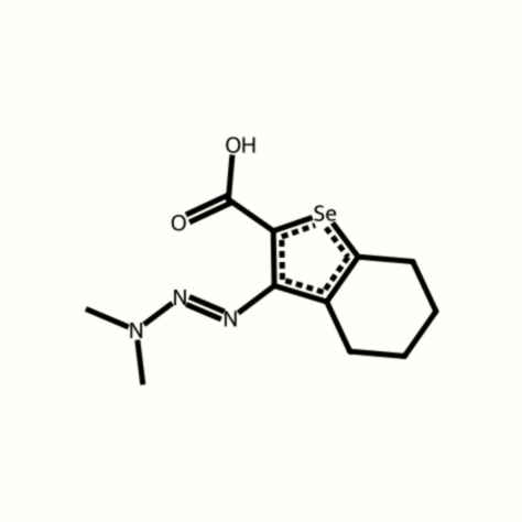 CN(C)/N=N/c1c(C(=O)O)[se]c2c1CCCC2